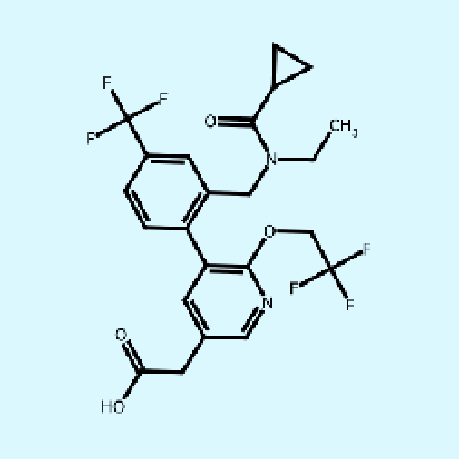 CCN(Cc1cc(C(F)(F)F)ccc1-c1cc(CC(=O)O)cnc1OCC(F)(F)F)C(=O)C1CC1